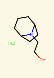 Cl.OCCN1C2CCCC1CC2